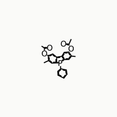 CC(=O)Oc1cc2c3cc(OC(C)=O)c(C)cc3p(-c3ccccc3)c2cc1C